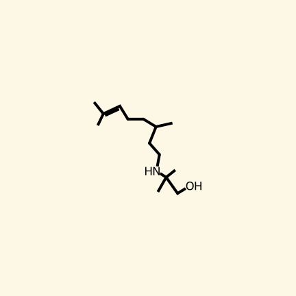 CC(C)=CCCC(C)CCNC(C)(C)CO